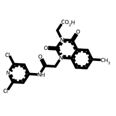 Cc1ccc2c(c1)c(=O)n(CC(=O)O)c(=O)n2CC(=O)Nc1cc(Cl)nc(Cl)c1